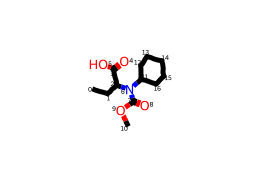 CCC(C(=O)O)N(C(=O)OC)C1CCCCC1